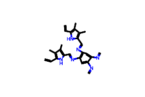 C=Cc1[nH]c(C=Nc2cc(N=C)c(N=C)cc2N=Cc2[nH]c(C=C)c(C)c2C)c(C)c1C